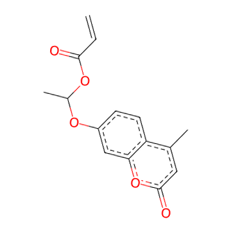 C=CC(=O)OC(C)Oc1ccc2c(C)cc(=O)oc2c1